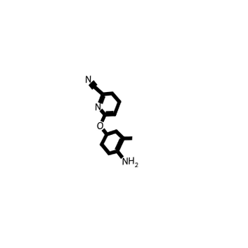 CC1=C(N)CCC(OC2=CCCC(C#N)=N2)C1